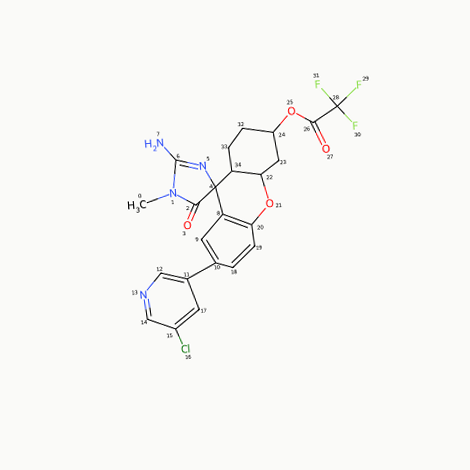 CN1C(=O)C2(N=C1N)c1cc(-c3cncc(Cl)c3)ccc1OC1CC(OC(=O)C(F)(F)F)CCC12